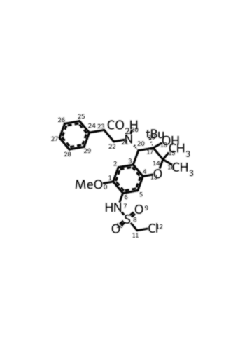 COc1cc2c(cc1NS(=O)(=O)CCl)OC(C)(C)[C@@](O)(C(C)(C)C)[C@H]2N(CCc1ccccc1)C(=O)O